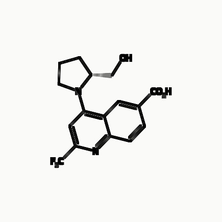 O=C(O)c1ccc2nc(C(F)(F)F)cc(N3CCC[C@@H]3CO)c2c1